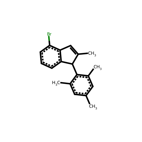 CC1=Cc2c(Br)cccc2C1c1c(C)cc(C)cc1C